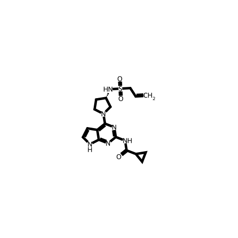 C=CCS(=O)(=O)N[C@H]1CCN(c2nc(NC(=O)C3CC3)nc3[nH]ccc23)C1